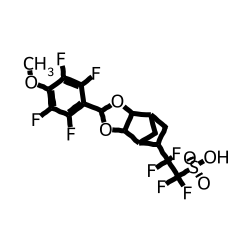 COc1c(F)c(F)c(C2OC3C4CC(C3O2)C(C(F)(F)C(F)(F)S(=O)(=O)O)C4)c(F)c1F